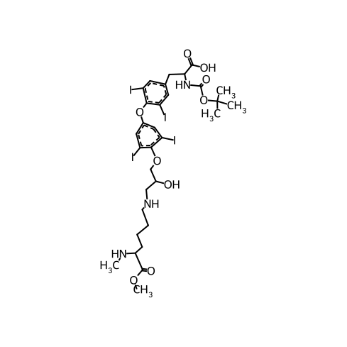 CNC(CCCCNCC(O)COc1c(I)cc(Oc2c(I)cc(CC(NC(=O)OC(C)(C)C)C(=O)O)cc2I)cc1I)C(=O)OC